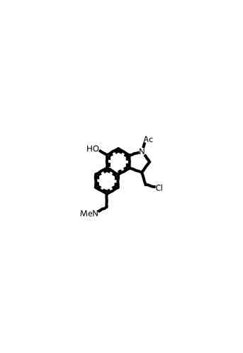 CNCc1ccc2c(O)cc3c(c2c1)C(CCl)CN3C(C)=O